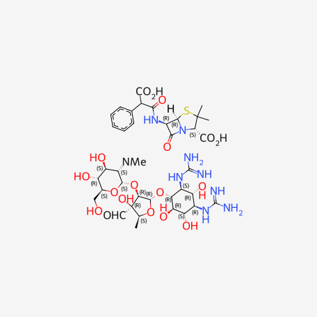 CC1(C)S[C@@H]2[C@H](NC(=O)C(C(=O)O)c3ccccc3)C(=O)N2[C@H]1C(=O)O.CN[C@@H]1[C@H](O[C@H]2[C@H](O[C@H]3[C@H](O)[C@@H](O)[C@H](NC(=N)N)[C@@H](O)[C@@H]3NC(=N)N)O[C@@H](C)[C@]2(O)C=O)O[C@@H](CO)[C@H](O)[C@H]1O